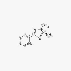 Bn1nc(-c2ccccn2)cc1N